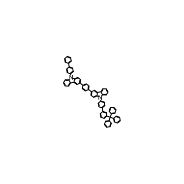 c1ccc(-c2ccc(-n3c4ccccc4c4cc(-c5ccc(-c6ccc7c(c6)c6ccccc6n7-c6ccc(-c7cccc(C(c8ccccc8)(c8ccccc8)c8ccccc8)c7)cc6)cc5)ccc43)cc2)cc1